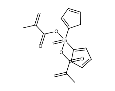 C=C(C)C(=O)[O][Ti](=[CH2])([O]C(=O)C(=C)C)([C]1=CC=CC1)[C]1=CC=CC1